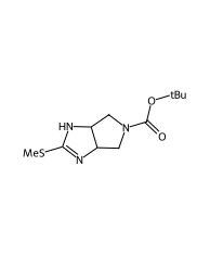 CSC1=NC2CN(C(=O)OC(C)(C)C)CC2N1